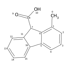 Cc1cccc2c1C(C(=O)O)c1ccccc1-2